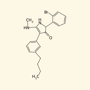 CCCCc1cccc(C2=C(NC)NC(c3ccccc3Br)C2=O)c1